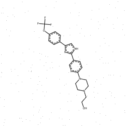 OCCN1CCN(c2ccc(-c3nc(-c4ccc(OC(F)(F)F)cc4)c[nH]3)cn2)CC1